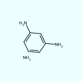 N.Nc1cccc(N)c1